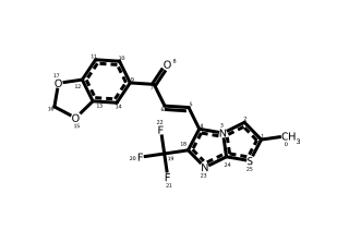 Cc1cn2c(C=CC(=O)c3ccc4c(c3)OCO4)c(C(F)(F)F)nc2s1